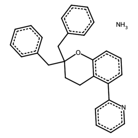 N.c1ccc(CC2(Cc3ccccc3)CCc3c(cccc3-c3ccccn3)O2)cc1